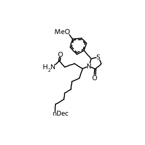 CCCCCCCCCCCCCCCCC(CCC(N)=O)N1C(=O)CSC1c1ccc(OC)cc1